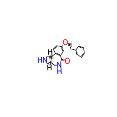 C[C@H](Cc1ccccc1)Oc1ccc2c(c1)C(=O)NC[C@@H]1CNC[C@@H]21